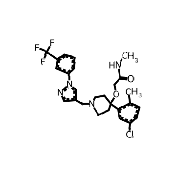 CNC(=O)COC1(c2cc(Cl)ccc2C)CCN(Cc2cnn(-c3cccc(C(F)(F)F)c3)c2)CC1